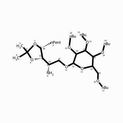 CCCCC[C@H]1OC(C)(C)O[C@H]1[C@@H](N)COC1OC(COCCCC)C(OCCCC)C(OCCCC)C1OCCCC